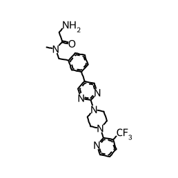 CN(Cc1cccc(-c2cnc(N3CCN(c4ncccc4C(F)(F)F)CC3)nc2)c1)C(=O)CN